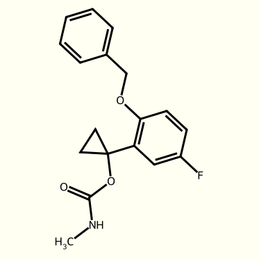 CNC(=O)OC1(c2cc(F)ccc2OCc2ccccc2)CC1